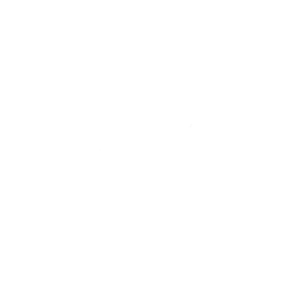 O=C(O)c1cccc(Oc2ccc(C3CCCC3)cc2)c1